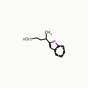 CCCCCCCCCCC(C)C1=Cc2ccccc2[P]1